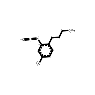 COCCCc1ccc(C(F)(F)F)cc1N=C=O